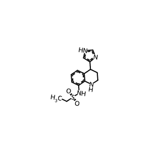 CCS(=O)(=O)Nc1cccc2c1NCCC2c1c[nH]cn1